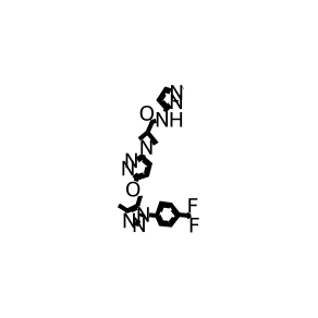 Cc1nnn(-c2ccc(C(F)F)cc2)c1COc1ccc(N2CC(C(=O)Nc3ccn(C)n3)C2)nn1